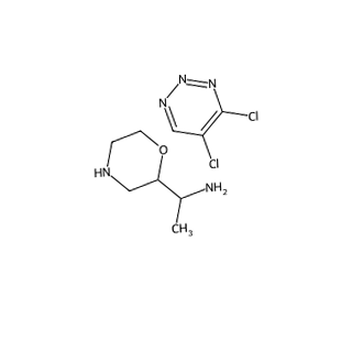 CC(N)C1CNCCO1.Clc1cnnnc1Cl